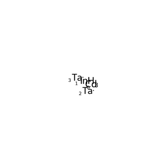 [Cd].[InH3].[Ta].[Ta]